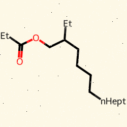 CCCCCCCCCCCC(CC)COC(=O)CC